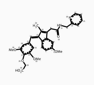 COc1ccc2c(c1)C(CC(=O)NCc1ccccn1)=C(C)/C2=C/c1cc(OC)c(OCC(=O)O)c(OC)c1